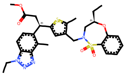 CC[C@@H]1CN(Cc2cc([C@H](CC(=O)OC)c3ccc4c(nnn4CC)c3C)sc2C)S(=O)(=O)c2ccccc2O1